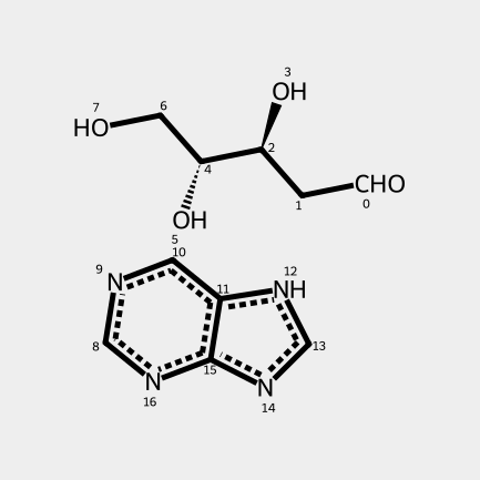 O=CC[C@H](O)[C@H](O)CO.c1ncc2[nH]cnc2n1